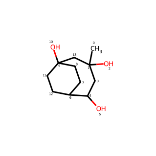 CC1(O)CC(O)C2CCC(O)(CC2)C1